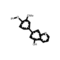 COc1cc(-c2cc(O)c3cccnc3c2)ccc1OC(C)C